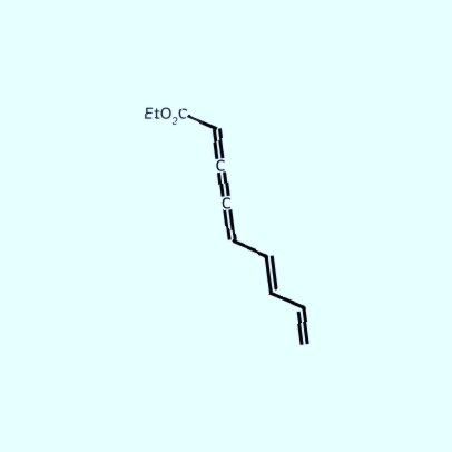 C=CC=CC=C=C=CC(=O)OCC